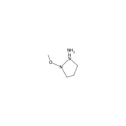 CON1CCC[SiH]1N